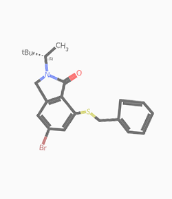 C[C@H](N1Cc2cc(Br)cc(SCc3ccccc3)c2C1=O)C(C)(C)C